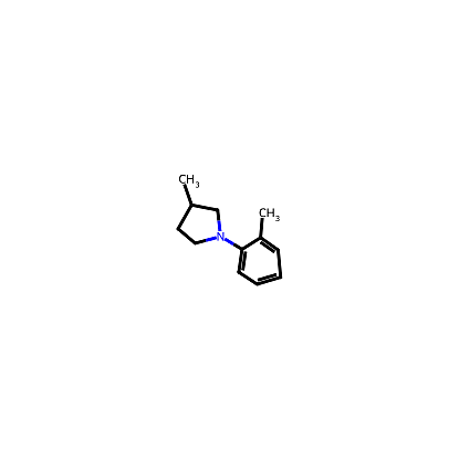 Cc1ccccc1N1CCC(C)C1